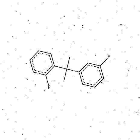 CC(C)(c1cccc(F)c1)c1ccccc1F